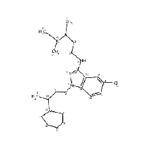 CC(CCNc1nn(CCC(C)N2CCCCC2)c2ccc(Cl)cc12)N(C)C